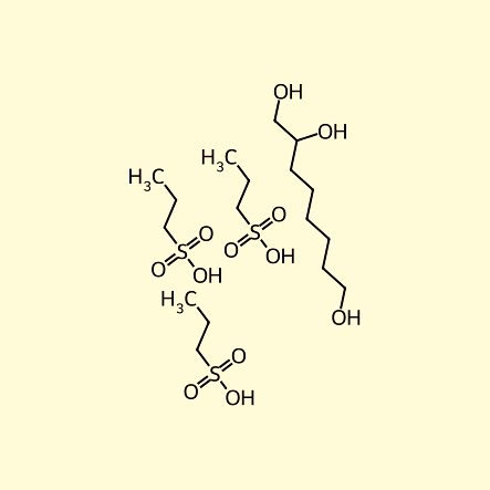 CCCS(=O)(=O)O.CCCS(=O)(=O)O.CCCS(=O)(=O)O.OCCCCCCC(O)CO